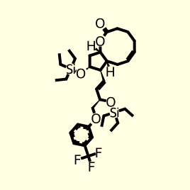 CC[Si](CC)(CC)O[C@H](/C=C/[C@@H]1[C@H]2C/C=C\CCCC(=O)O[C@H]2C[C@H]1O[Si](CC)(CC)CC)COc1cccc(C(F)(F)F)c1